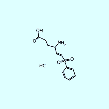 Cl.NC(C=CS(=O)(=O)c1ccccc1)CCC(=O)O